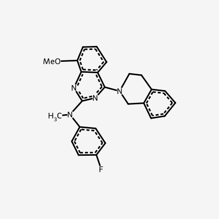 COc1cccc2c(N3CCc4ccccc4C3)nc(N(C)c3ccc(F)cc3)nc12